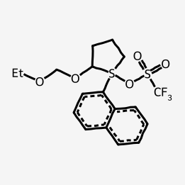 CCOCOC1CCCS1(OS(=O)(=O)C(F)(F)F)c1cccc2ccccc12